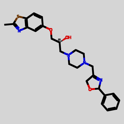 Cc1nc2cc(OC[C@H](O)CN3CCN(CC4=NC(c5ccccc5)OC4)CC3)ccc2s1